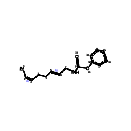 CC/C=C\CC/C=C/CNC(=O)Oc1ccccc1